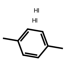 Cc1ccc(C)cc1.I.I